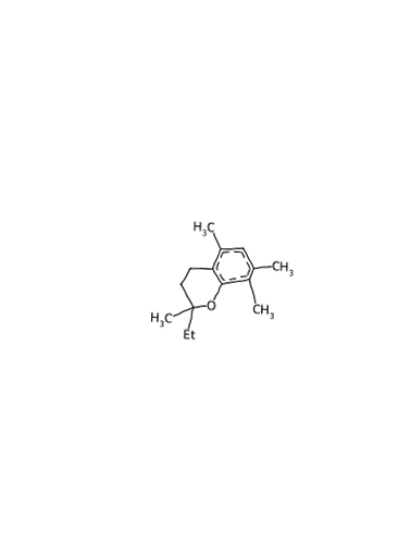 CCC1(C)CCc2c(C)cc(C)c(C)c2O1